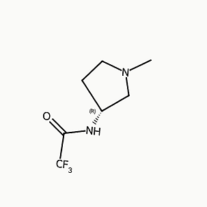 CN1CC[C@@H](NC(=O)C(F)(F)F)C1